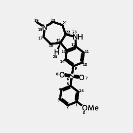 COc1cccc(S(=O)(=O)c2ccc3c(c2)[C@@H]2CCN(C)CCC2N3)c1